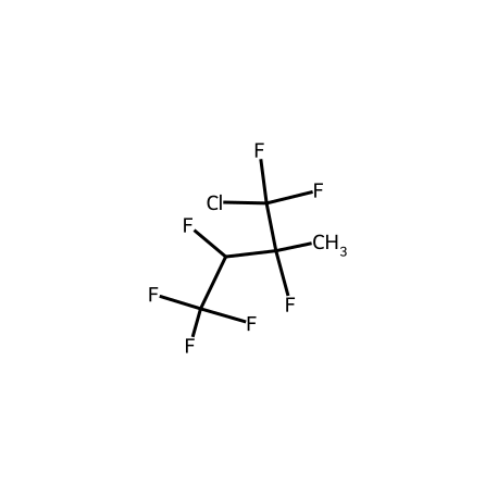 CC(F)(C(F)C(F)(F)F)C(F)(F)Cl